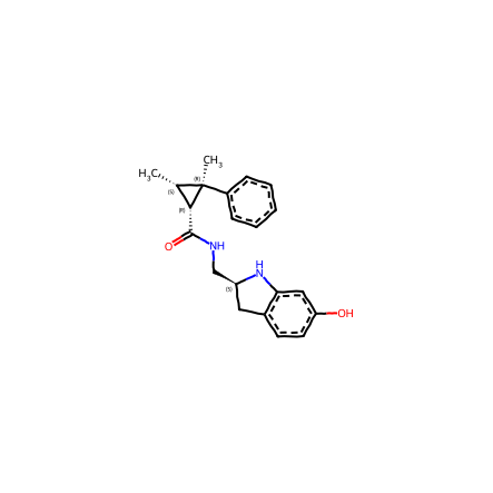 C[C@H]1[C@@H](C(=O)NC[C@@H]2Cc3ccc(O)cc3N2)[C@]1(C)c1ccccc1